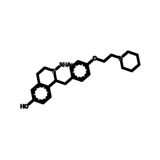 CC(=O)NN1CCc2cc(O)ccc2C1Cc1ccc(OCCN2CCCCC2)cc1